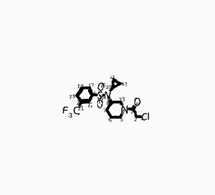 O=C(CCl)N1CCCC(N(C2CC2)S(=O)(=O)c2cccc(C(F)(F)F)c2)C1